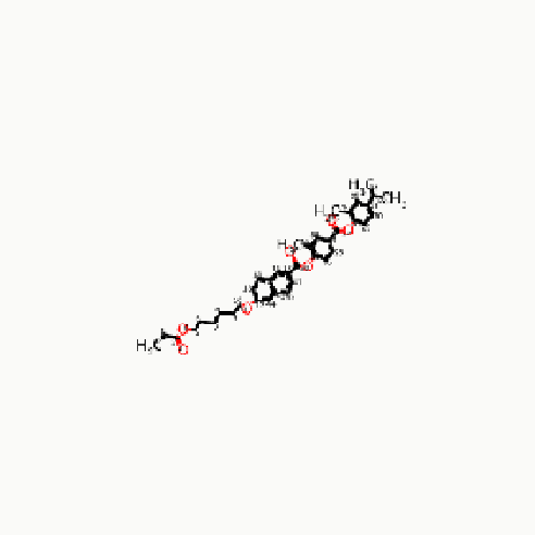 C=CC(=O)OCCCCCCOc1ccc2cc(C(=O)Oc3ccc(C(=O)Oc4ccc(C(C)C)cc4C)cc3C)ccc2c1